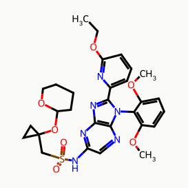 CCOc1cccc(-c2nc3nc(NS(=O)(=O)CC4(OC5CCCCO5)CC4)cnc3n2-c2c(OC)cccc2OC)n1